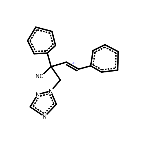 N#CC(/C=C/c1ccccc1)(Cn1cncn1)c1ccccc1